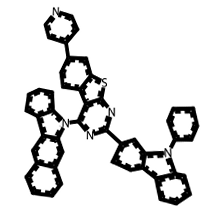 c1ccc(-n2c3ccccc3c3ccc(-c4nc(-n5c6ccccc6c6cc7ccccc7cc65)c5c(n4)sc4cc(-c6ccncc6)ccc45)cc32)cc1